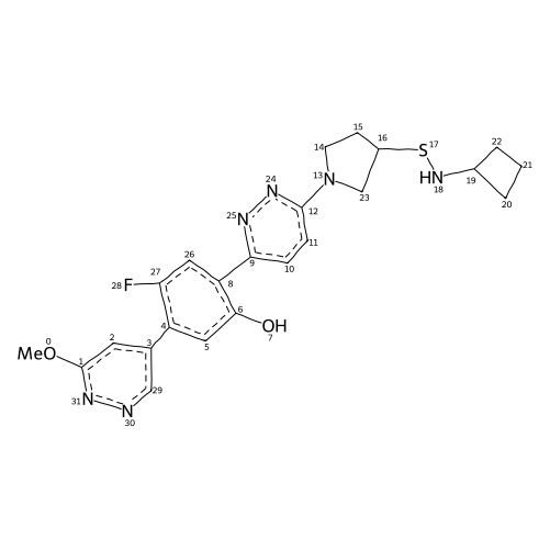 COc1cc(-c2cc(O)c(-c3ccc(N4CCC(SNC5CCC5)C4)nn3)cc2F)cnn1